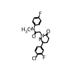 CN(C(=O)CN1N=C(c2ccc(Cl)c(F)c2)CCC1=O)c1ccc(F)cc1